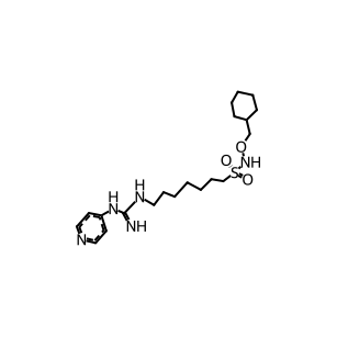 N=C(NCCCCCCCS(=O)(=O)NOCC1CCCCC1)Nc1ccncc1